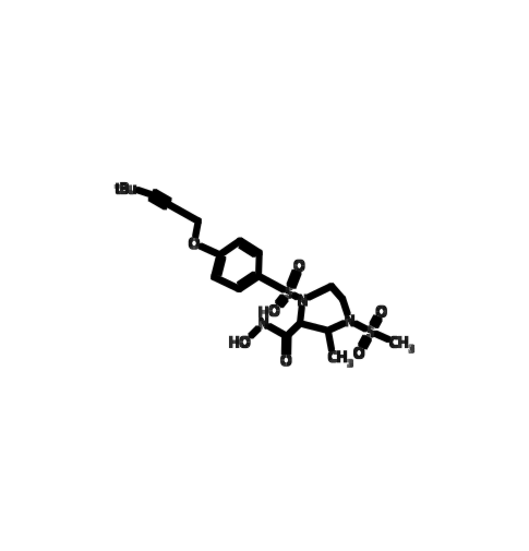 CC1C(C(=O)NO)N(S(=O)(=O)c2ccc(OCC#CC(C)(C)C)cc2)CCN1S(C)(=O)=O